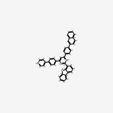 c1ccc2cc(-c3ccc(-c4cc(-c5ccc(-c6ccncc6)cc5)nc(-c5cccc6c5oc5ccccc56)n4)cc3)ccc2c1